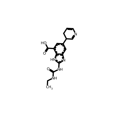 CCNC(=O)Nc1nc2cc(C3C=NC=CC3)cc(C(=O)O)c2[nH]1